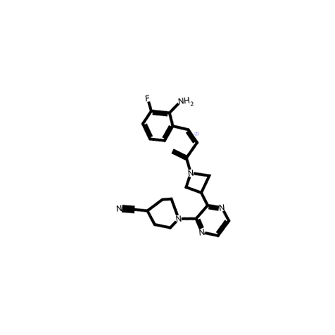 C=C(/C=C\c1cccc(F)c1N)N1CC(c2nccnc2N2CCC(C#N)CC2)C1